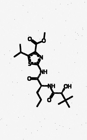 CCC[C@H](NC(=O)[C@@H](O)C(C)(C)C)C(=O)Nc1nc(C(=O)OC)c(C(C)C)s1